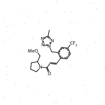 COCC1CCCN1C(=O)C=Cc1ccc(C(F)(F)F)cc1Cn1nnc(C)n1